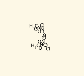 CC(=O)n1c(=O)n(CCCN2CCC(n3c(=O)n(C(C)=O)c4cc(Cl)ccc43)CC2)c2ccccc21